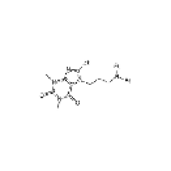 CCc1nc2c(c(=O)n(C)c(=O)n2C)n1CCCN(CC)CC